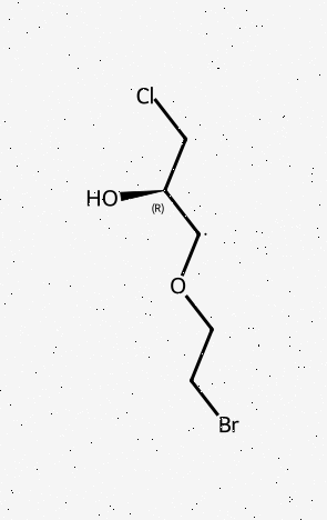 O[C@H]([CH]OCCBr)CCl